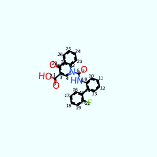 O=C(O)c1cn(C(=O)Nc2ccccc2-c2ccccc2F)c2ccccc2c1=O